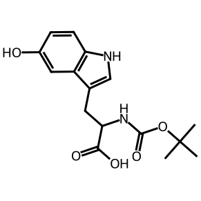 CC(C)(C)OC(=O)NC(Cc1c[nH]c2ccc(O)cc12)C(=O)O